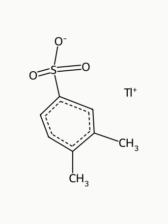 Cc1ccc(S(=O)(=O)[O-])cc1C.[Tl+]